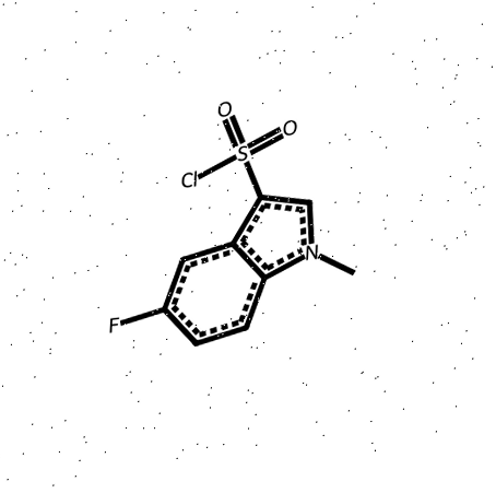 Cn1cc(S(=O)(=O)Cl)c2cc(F)ccc21